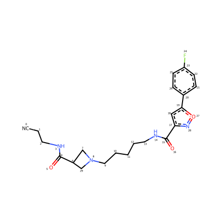 N#CCCNC(=O)C1CN(CCCCCNC(=O)c2cc(-c3ccc(F)cc3)on2)C1